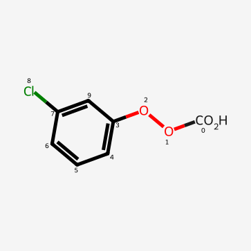 O=C(O)OOc1cccc(Cl)c1